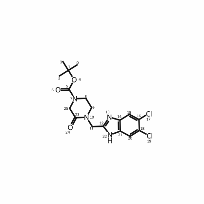 CC(C)(C)OC(=O)N1CCN(Cc2nc3cc(Cl)c(Cl)cc3[nH]2)C(=O)C1